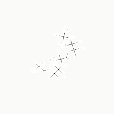 CCC(C)(F)COC(C)(F)C(F)(F)OC(F)(COC(C)(F)C(F)(F)OC(F)(C(=O)O)C(F)(F)F)C(F)(F)F